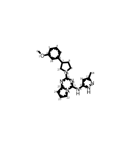 COc1cccc(C2CCN(c3nc(Nc4cc(C)n[nH]4)n4cccc4n3)C2)c1